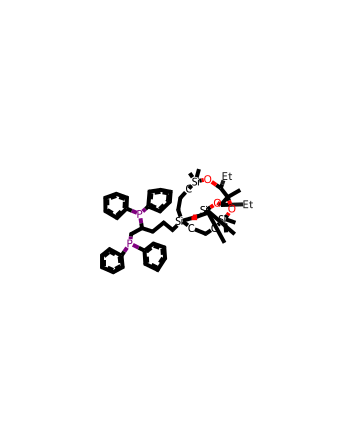 CCC1O[Si](C)(C)CCC[Si]2(CCCC(CP(c3ccccc3)c3ccccc3)P(c3ccccc3)c3ccccc3)CCC[Si](C)(C)OC(CC)C1(C)O[Si](C)(C)CCC2